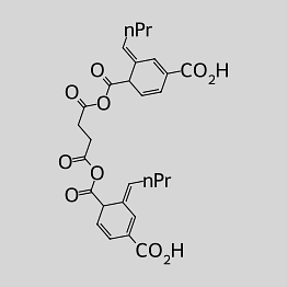 CCCC=C1C=C(C(=O)O)C=CC1C(=O)OC(=O)CCC(=O)OC(=O)C1C=CC(C(=O)O)=CC1=CCCC